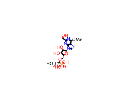 COc1nc(CO)nc2c1ncn2[C@@H]1O[C@H](COC(C(=O)O)P(=O)(O)O)[C@@H](O)[C@H]1O